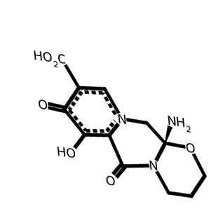 N[C@]12Cn3cc(C(=O)O)c(=O)c(O)c3C(=O)N1CCCO2